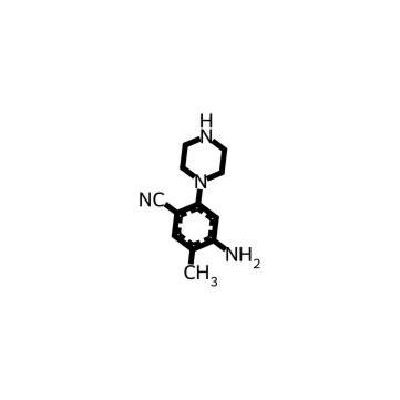 Cc1cc(C#N)c(N2CCNCC2)cc1N